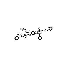 CCOC(=O)C(Oc1ccc(C[C@H](NC(=O)c2ccccc2)C(=O)NCCCCc2ccccc2)cc1)c1nnn(C(C)Cc2ccccc2)n1